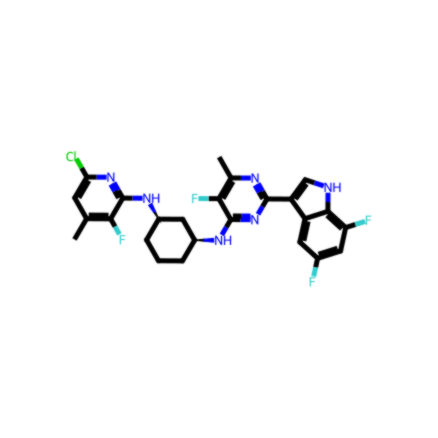 Cc1cc(Cl)nc(N[C@@H]2CCC[C@H](Nc3nc(-c4c[nH]c5c(F)cc(F)cc45)nc(C)c3F)C2)c1F